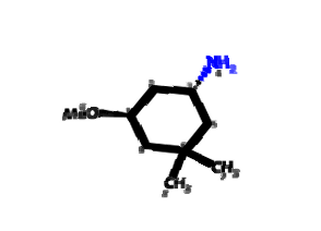 CO[C@H]1C[C@H](N)CC(C)(C)C1